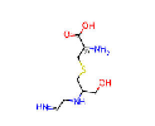 N=CCNC(CO)CSC[C@H](N)C(=O)O